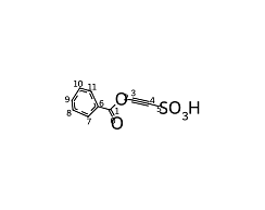 O=C(OC#CS(=O)(=O)O)c1ccccc1